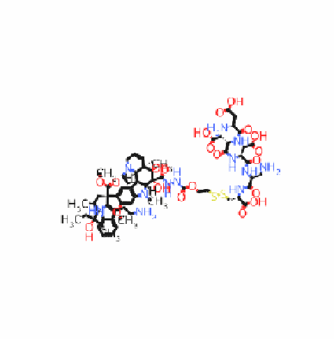 CCC(O)(CC)C[C@@H](C)C[C@@](C(=O)OC)(c1cc2c(cc1OC)N(C)[C@H]1[C@@](O)(C(=O)NNC(=O)OCCSSC[C@H](NC(=O)[C@H](CN)NC(=O)[C@H](CC(=O)O)NC(=O)[C@H](CC(=O)O)NC(=O)[C@H](N)CC(=O)O)C(=O)O)[C@H](O)[C@]3(CC)C=CCN4CC[C@]21[C@@H]43)c1[nH]c2ccccc2c1CCN